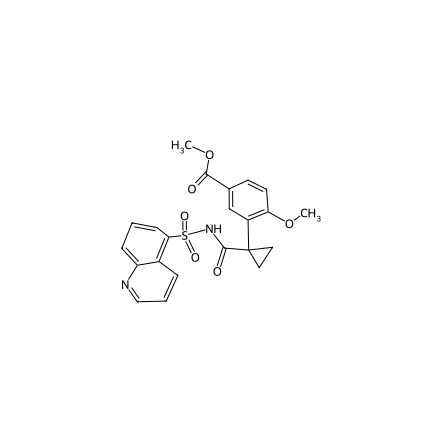 COC(=O)c1ccc(OC)c(C2(C(=O)NS(=O)(=O)c3cccc4ncccc34)CC2)c1